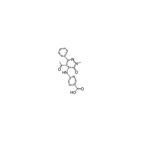 CC(=O)c1c(-c2ccccc2)nn(C)c(=O)c1Nc1ccc(C(=O)O)cc1